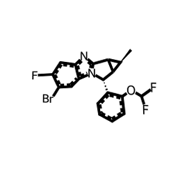 C[C@@H]1C2c3nc4cc(F)c(Br)cc4n3[C@@H](c3ccccc3OC(F)F)C21